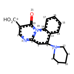 O=C(O)c1cnc2cc(N3CCCCC3)c3ccccc3n2c1=O